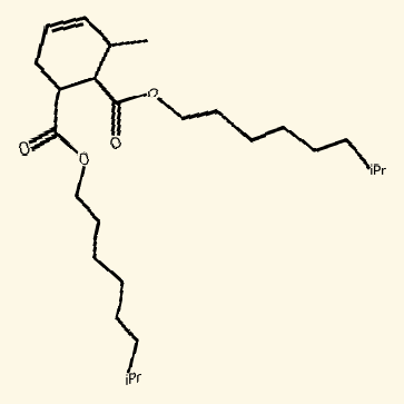 CC(C)CCCCCCOC(=O)C1CC=CC(C)C1C(=O)OCCCCCCC(C)C